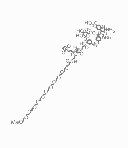 CCCCc1nc2c(N)nc3cc(C(=O)O)ccc3c2n1Cc1ccc(C[N+](C)(C)Cc2ccc(O[C@@H]3O[C@H](C(=O)O)[C@@H](O)[C@H](O)[C@H]3O)c(NC(=O)CCNC(=O)[C@H](CCCCNC(=O)CCOCCOCCOCCOCCOCCOCCOCCOCCOCCOCCOCCOC)NC(=O)CCN3C(=O)C=CC3=O)c2)cc1